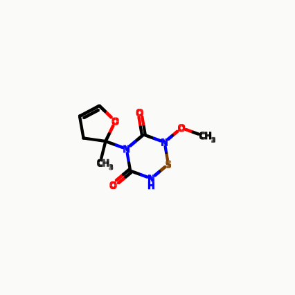 CON1SNC(=O)N(C2(C)CC=CO2)C1=O